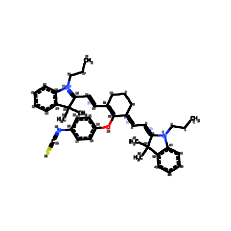 CCCN1/C(=C/C=C2\CCCC(/C=C/C3=[N+](CCC)c4ccccc4C3(C)C)=C2Oc2ccc(N=C=S)cc2)C(C)(C)c2ccccc21